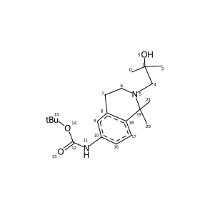 CC(C)(O)CN1CCc2cc(NC(=O)OC(C)(C)C)ccc2C1(C)C